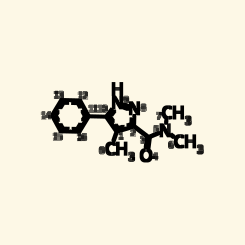 Cc1c(C(=O)N(C)C)n[nH]c1-c1ccccc1